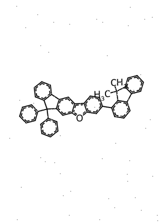 CC1(C)c2ccccc2-c2cccc(-c3ccc4c(c3)oc3cc5c(cc34)-c3ccccc3C5(c3ccccc3)c3ccccc3)c21